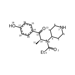 CCC(=O)N(C1CCNCC1)[C@@H](C)C(=O)c1ccc(O)cc1